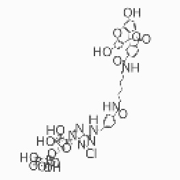 O=C(NCCCCCCNC(=O)c1ccc2c(c1)C1(OC2=O)c2ccc(O)cc2Oc2cc(O)ccc21)c1ccc(CNc2nc(Cl)nc3c2ncn3[C@@H]2O[C@H](COP(=O)(O)CP(=O)(O)O)[C@@H](O)[C@H]2O)cc1